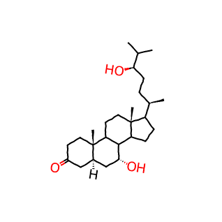 CC(C)[C@H](O)CC[C@@H](C)C1CCC2C3C(CC[C@@]21C)[C@@]1(C)CCC(=O)C[C@@H]1C[C@H]3O